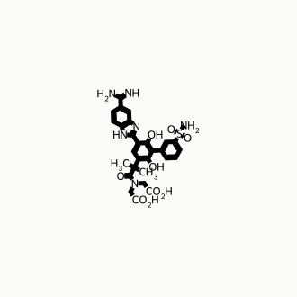 CC(C)(C(=O)N(CC(=O)O)CC(=O)O)c1cc(-c2nc3cc(C(=N)N)ccc3[nH]2)c(O)c(-c2cccc(S(N)(=O)=O)c2)c1O